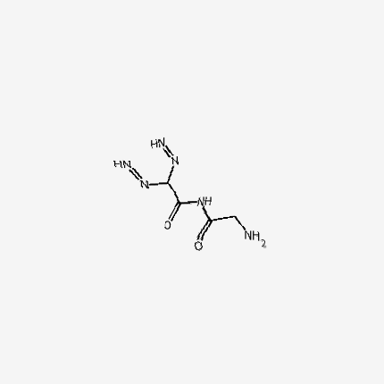 N=NC(N=N)C(=O)NC(=O)CN